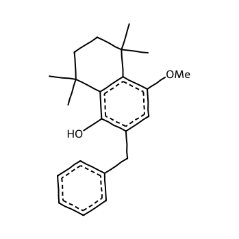 COc1cc(Cc2ccccc2)c(O)c2c1C(C)(C)CCC2(C)C